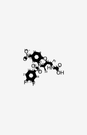 C[C@H](NC(=O)O)[C@@H]1Oc2ccc([N+](=O)[O-])cc2N(S(=O)(=O)c2ccc(F)c(F)c2)[C@@H]1C